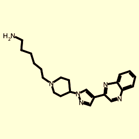 NCCCCCCN1CCC(n2cc(-c3cnc4ccccc4n3)cn2)CC1